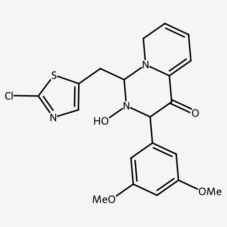 COc1cc(OC)cc(C2C(=O)C3=CC=CCN3C(Cc3cnc(Cl)s3)N2O)c1